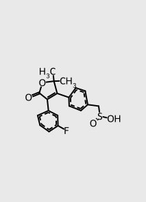 CC1(C)OC(=O)C(c2cccc(F)c2)=C1c1ccc(CS(=O)O)cc1